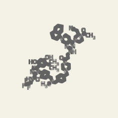 CC(=O)N1CCN(c2nc(NCCC(=O)N3CCN(Cc4ccc(CN(C)Cc5ccc(-n6c(C(=O)NCC(F)(F)F)nnc6-c6cc(C(C)C)c(O)cc6O)cc5)cc4)CC3)nc3c2CCN(c2cccc4ccccc24)C3)CC1CC#N